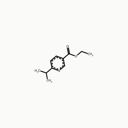 CCOC(=O)c1[c]nc(C(C)C)cc1